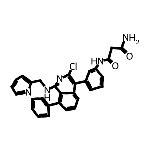 NC(=O)CC(=O)Nc1cccc(-c2c(Cl)nc(NCc3ccccn3)c3c(-c4ccccc4)cccc23)c1